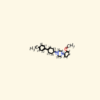 COc1ccccc1N1CCN(C2CCC(c3ccc(C)cc3)CC2)CC1